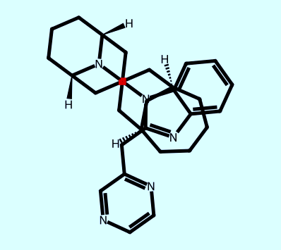 c1ccc2c(c1)nc(Cc1cnccn1)n2C1C[C@H]2CCC[C@@H](C1)N2C1C[C@H]2CCCC[C@@H](C1)C2